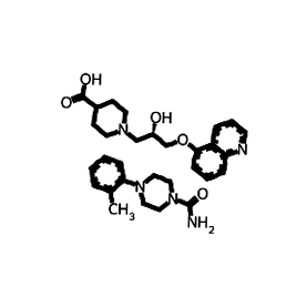 Cc1ccccc1N1CCN(C(N)=O)CC1.O=C(O)C1CCN(C[C@@H](O)COc2cccc3ncccc23)CC1